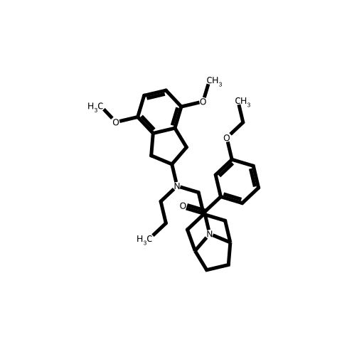 CCCN(CC1CC2CCC(C1)N2C(=O)c1cccc(OCC)c1)C1Cc2c(OC)ccc(OC)c2C1